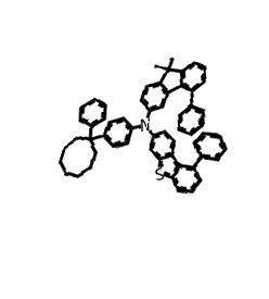 CC1(C)c2ccc(N(c3ccc(C4(c5ccccc5)CCCCCCC4)cc3)c3ccc4c(c3)sc3cccc(-c5ccccc5)c34)cc2-c2c(-c3ccccc3)cccc21